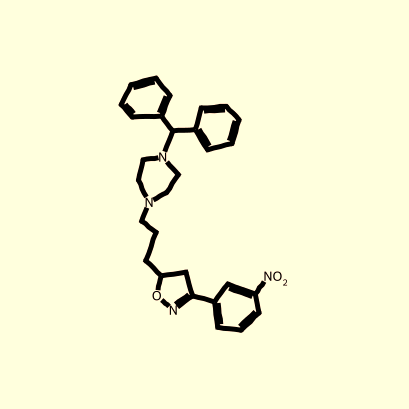 O=[N+]([O-])c1cccc(C2=NOC(CCCN3CCN(C(c4ccccc4)c4ccccc4)CC3)C2)c1